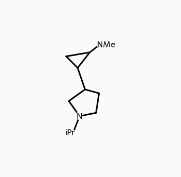 CNC1CC1C1CCN(C(C)C)C1